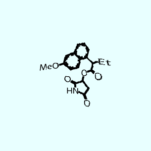 CCC(C(=O)OC1CC(=O)NC1=O)c1cccc2cc(OC)ccc12